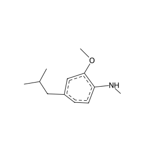 CNc1ccc(CC(C)C)cc1OC